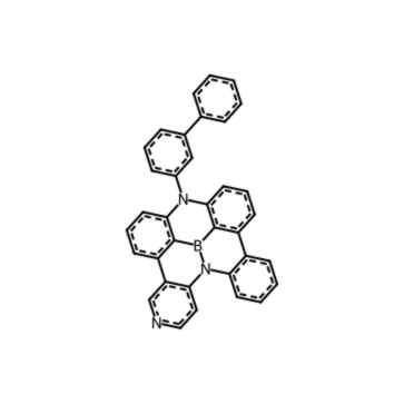 c1ccc(-c2cccc(N3c4cccc5c4B4c6c(cccc63)-c3cnccc3N4c3ccccc3-5)c2)cc1